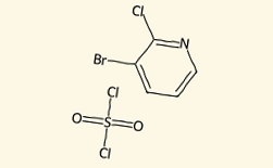 Clc1ncccc1Br.O=S(=O)(Cl)Cl